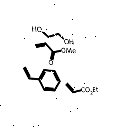 C=CC(=O)OC.C=CC(=O)OCC.C=Cc1ccccc1.OCCO